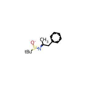 C/C(Cc1ccccc1)=N\[S+]([O-])C(C)(C)C